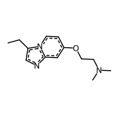 CCc1cnc2cc(OCCN(C)C)ccn12